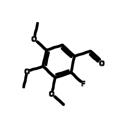 COc1cc(C=O)c(F)c(OC)c1OC